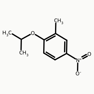 Cc1cc([N+](=O)[O-])ccc1OC(C)C